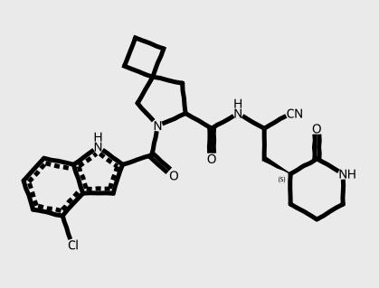 N#CC(C[C@@H]1CCCNC1=O)NC(=O)C1CC2(CCC2)CN1C(=O)c1cc2c(Cl)cccc2[nH]1